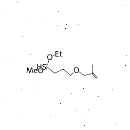 C=C(C)COCCC[SiH](OC)OCC